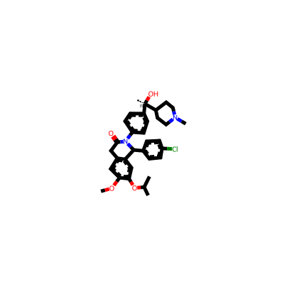 COc1cc2c(cc1OC(C)C)C(c1ccc(Cl)cc1)N(c1ccc([C@@](C)(O)C3CCN(C)CC3)cc1)C(=O)C2